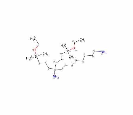 CCO[Si](C)(C)CCCC(N)(CCCCCCCCN)CCC[Si](C)(C)OCC